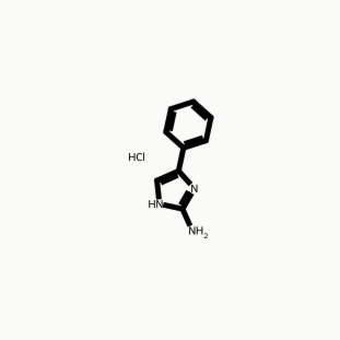 Cl.Nc1nc(-c2ccccc2)c[nH]1